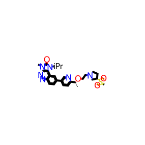 CC(C)n1c(=O)n(C)c2nnc3ccc(-c4ccc([C@@H](C)OCCN5CC[C@@H](S(C)(=O)=O)C5)nc4)cc3c21